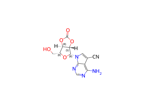 N#Cc1cn([C@@H]2O[C@H](CO)[C@H]3OC(=O)O[C@@H]32)c2ncnc(N)c12